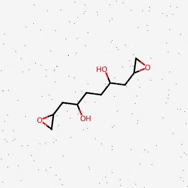 OC(CCC(O)CC1CO1)CC1CO1